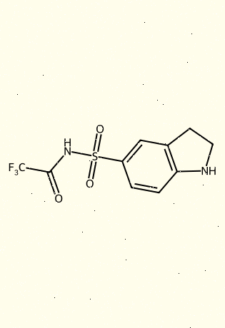 O=C(NS(=O)(=O)c1ccc2c(c1)CCN2)C(F)(F)F